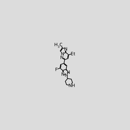 CCc1cc(-c2cc(F)c3nn(C4CCNCC4)nc3c2)nn2cc(C)nc12